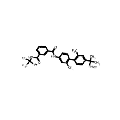 CCCCCCC(C)(C)c1ccc(-c2ccc(NC(=O)c3cccc(C(=O)NC(C)(CC)CCC)c3)cc2C(F)(F)F)c(C(F)(F)F)c1